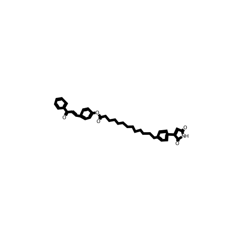 O=C1C=C(c2ccc(CCCCCCCCCCCCC(=O)Oc3ccc(C=CC(=O)c4ccccc4)cc3)cc2)C(=O)N1